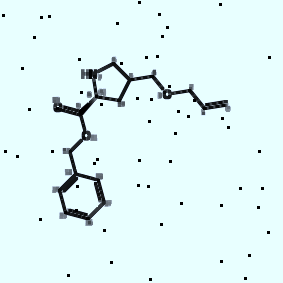 C=CCOCC1CN[C@H](C(=O)OCc2ccccc2)C1